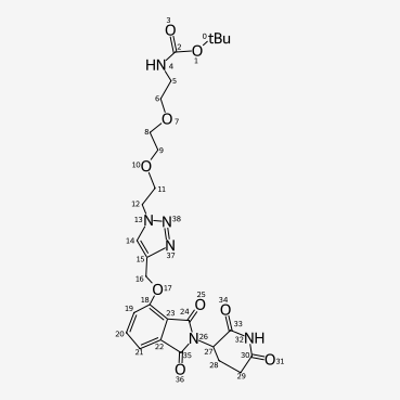 CC(C)(C)OC(=O)NCCOCCOCCn1cc(COc2cccc3c2C(=O)N(C2CCC(=O)NC2=O)C3=O)nn1